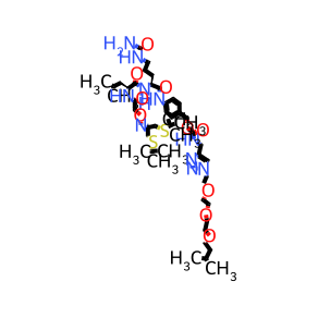 CC(C)CCOCCOCCOCCn1cc(CNC(=O)OCc2ccc(NC(=O)[C@H](CCCNC(N)=O)NC(=O)[C@H](CC(C)C)NC(=O)CON=C(CSC(C)(C)C)CSC(C)(C)C)cc2)nn1